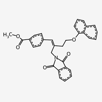 COC(=O)c1ccc(C=C(CCOc2cccc3ccccc23)CN2C(=O)c3ccccc3C2=O)cc1